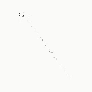 CCCCCCCCCCCCCCCCCCCCCCCC(=O)c1ncc[nH]1